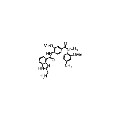 COc1cc(C(=O)N(C)c2ccc(C)cc2OC)ccc1NC(=O)c1cccc2[nH]c(CN)nc12